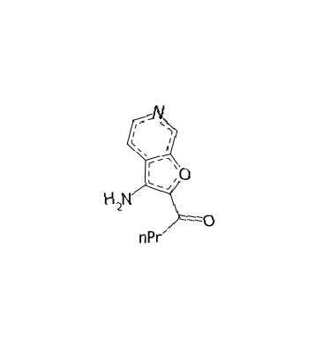 CCCC(=O)c1oc2cnccc2c1N